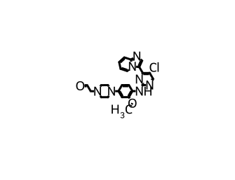 COc1cc(N2CCN(CC=O)CC2)ccc1Nc1ncc(Cl)c(-c2cnc3ccccn23)n1